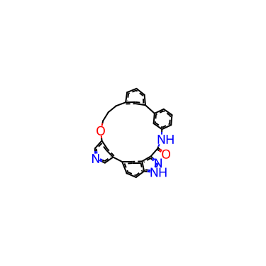 O=C1Nc2cccc(c2)-c2cccc(c2)CCCOc2cncc(c2)-c2ccc3[nH]nc1c3c2